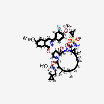 COc1ccc2c(O[C@@H]3C[C@H]4C(=O)N[C@]5(C(=O)NS(=O)(=O)C6CC6)C[C@H]5/C=C\CC[C@H](C)C[C@@H](C)[C@H](N(CC5(C)CC5)C(=O)O)C(=O)N4C3)nc(-c3ccc(OC(C)C)c(F)c3)cc2c1